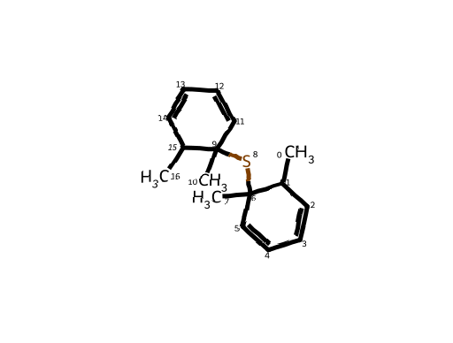 CC1C=CC=CC1(C)SC1(C)C=CC=CC1C